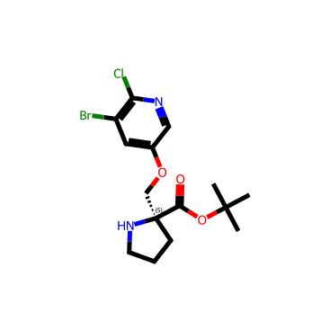 CC(C)(C)OC(=O)[C@@]1(COc2cnc(Cl)c(Br)c2)CCCN1